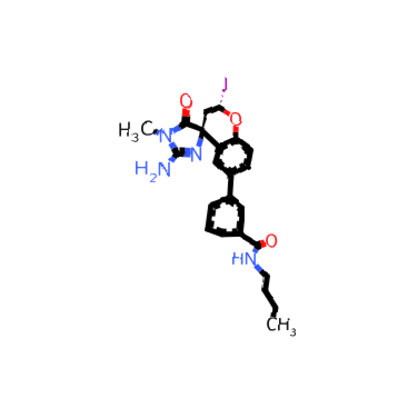 CCCCNC(=O)c1cccc(-c2ccc3c(c2)[C@]2(C[C@H](I)O3)N=C(N)N(C)C2=O)c1